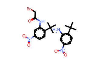 CC(C)(C)c1ccc([N+](=O)[O-])cc1N.CC(C)(C)c1ccc([N+](=O)[O-])cc1NC(=O)CBr